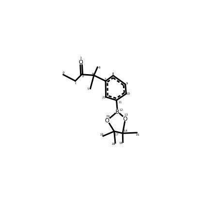 CCC(=O)C(C)(C)c1cccc(B2OC(C)(C)C(C)(C)O2)c1